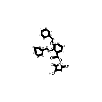 O=C(ON1C(=O)CC(O)C1=O)c1cccc(OCc2ccccc2)c1OCc1ccccc1